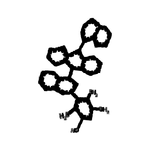 Bc1cc(O)c(B)c(-c2cc(-c3c4ccccc4c(-c4cccc5ccccc45)c4ccccc34)c3ccccc3c2)c1B